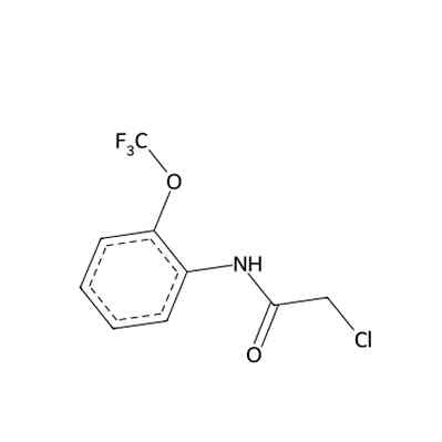 O=C(CCl)Nc1ccccc1OC(F)(F)F